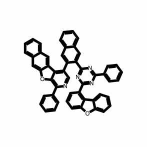 c1ccc(-c2nc(-c3cc4ccccc4cc3-c3cnc(-c4ccccc4)c4oc5cc6ccccc6cc5c34)nc(-c3cccc4oc5ccccc5c34)n2)cc1